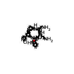 CN1C(=O)[C@H](CCCCN)NC(=O)[C@H](CCCN)NCc2cccnc2Sc2c(Cl)cc(-c3ccnc(Cl)c3)cc2CNC(=O)[C@@H]1Cc1c[nH]c2ccccc12